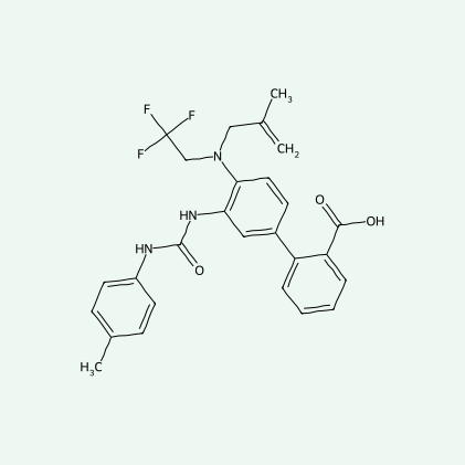 C=C(C)CN(CC(F)(F)F)c1ccc(-c2ccccc2C(=O)O)cc1NC(=O)Nc1ccc(C)cc1